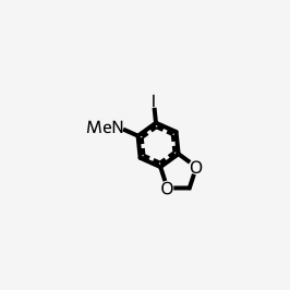 CNc1cc2c(cc1I)OCO2